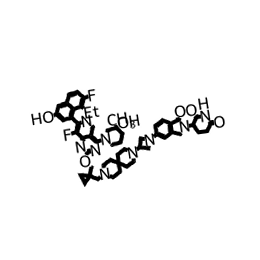 CCc1c(F)ccc2cc(O)cc(-c3ncc4c(N5CCC[C@@](C)(O)C5)nc(OCC5(CN6CCC7(CC6)CCN(C6CN(c8ccc9c(c8)CN(C8CCC(=O)NC8=O)C9=O)C6)CC7)CC5)nc4c3F)c12